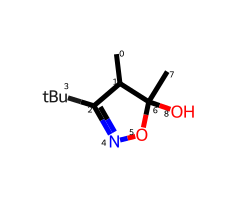 CC1C(C(C)(C)C)=NOC1(C)O